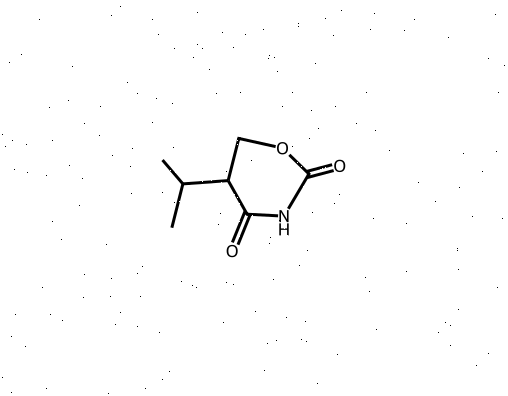 CC(C)C1COC(=O)NC1=O